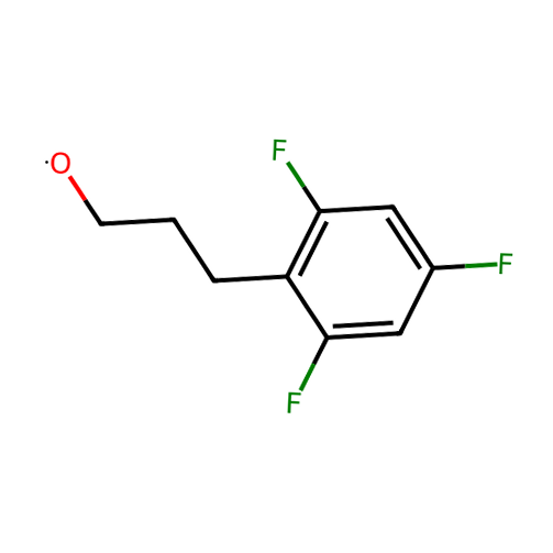 [O]CCCc1c(F)cc(F)cc1F